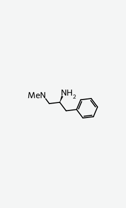 CNC[C@@H](N)Cc1ccccc1